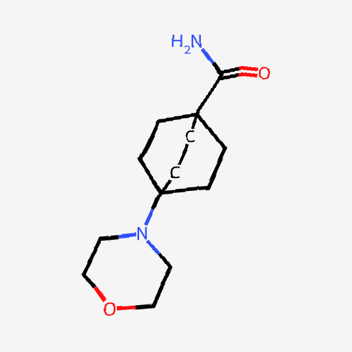 NC(=O)C12CCC(N3CCOCC3)(CC1)CC2